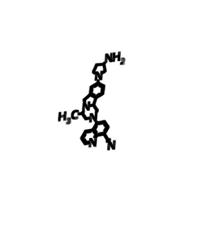 CC1CN(c2ccc(C#N)c3ncccc23)CC2c3ccc(N4CCC(N)C4)cc3CN12